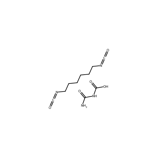 NC(=O)NC(=O)O.O=C=NCCCCCCN=C=O